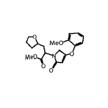 COC(=O)C(CC1CCCO1)N1CC(Oc2ccccc2OC)=CC1=O